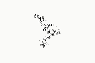 CCn1cc(Cn2cc(C)n(-c3cc(OCC4CC(F)(F)C4)cc(C4CC4)c3)c2=O)cn1